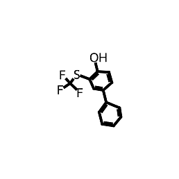 Oc1ccc(-c2ccccc2)cc1SC(F)(F)F